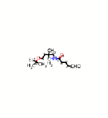 CCC(C)(C)OCCC(C)(C)CNC(=O)CCCC=O